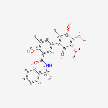 COC1=C(OC)C(=O)C(c2cc(C)c(O)c(C(=O)N[C@H](C)c3ccccc3)c2)=C(C)C1=O